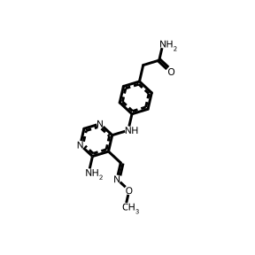 CON=Cc1c(N)ncnc1Nc1ccc(CC(N)=O)cc1